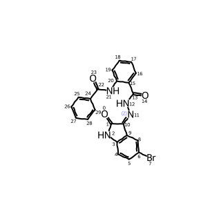 O=C1Nc2ccc(Br)cc2/C1=N/NC(=O)c1ccccc1NC(=O)c1ccccc1